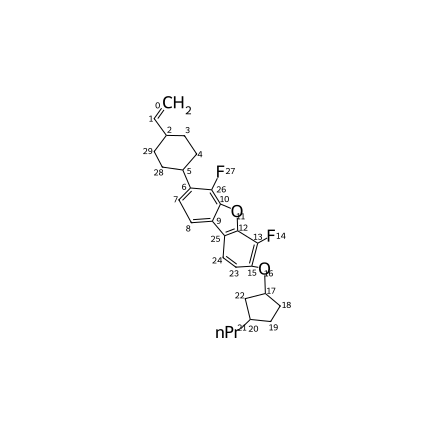 C=CC1CCC(c2ccc3c(oc4c(F)c(OC5CCC(CCC)C5)ccc43)c2F)CC1